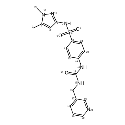 Cc1cc(NS(=O)(=O)c2ccc(NC(=O)NCc3cccnc3)cc2)nn1C